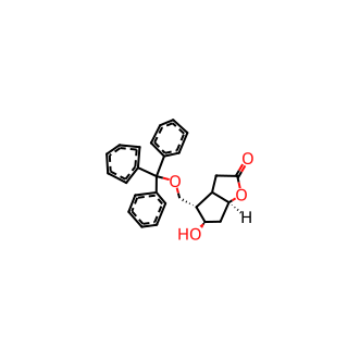 O=C1CC2[C@H](C[C@@H](O)[C@@H]2COC(c2ccccc2)(c2ccccc2)c2ccccc2)O1